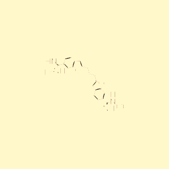 CC(C)NC(=N)c1ccc2cc(CCCc3cc4ccc(C(=N)NC(C)C)cc4o3)oc2c1